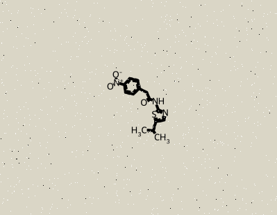 CC(C)c1cnc(NC(=O)Cc2ccc([N+](=O)[O-])cc2)s1